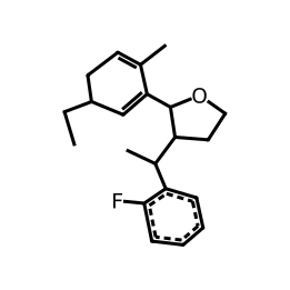 CCC1C=C(C2OCCC2C(C)c2ccccc2F)C(C)=CC1